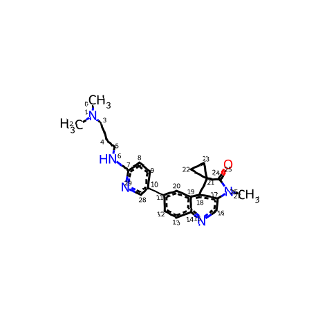 CN(C)CCCNc1ccc(-c2ccc3ncc4c(c3c2)C2(CC2)C(=O)N4C)cn1